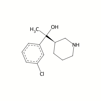 CC(O)(c1cccc(Cl)c1)[C@@H]1CCCNC1